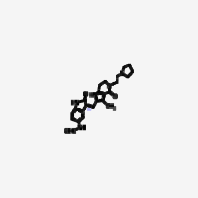 Cc1c(/C=C2\C(=O)Nc3ccc(NC=O)cc32)[nH]c2c1C(=O)N(CCN1CCCC1)CC2